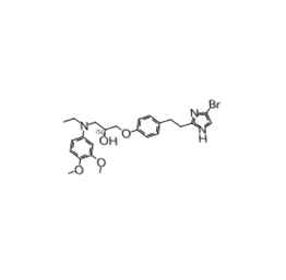 CCN(C[C@H](O)COc1ccc(CCc2nc(Br)c[nH]2)cc1)c1ccc(OC)c(OC)c1